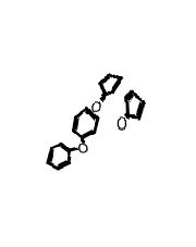 O=C1C=CC=C1.O=C1C=CC=C1.c1ccc(Oc2ccccc2)cc1